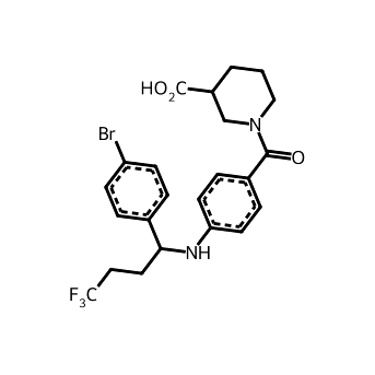 O=C(O)C1CCCN(C(=O)c2ccc(NC(CCC(F)(F)F)c3ccc(Br)cc3)cc2)C1